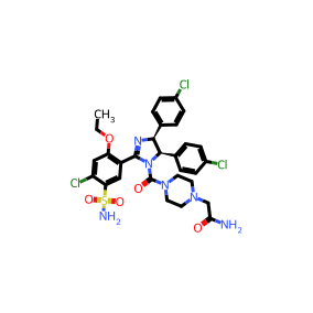 CCOc1cc(Cl)c(S(N)(=O)=O)cc1C1=N[C@@H](c2ccc(Cl)cc2)[C@@H](c2ccc(Cl)cc2)N1C(=O)N1CCN(CC(N)=O)CC1